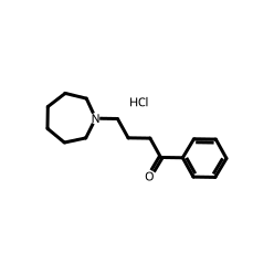 Cl.O=C(CCCN1CCCCCC1)c1ccccc1